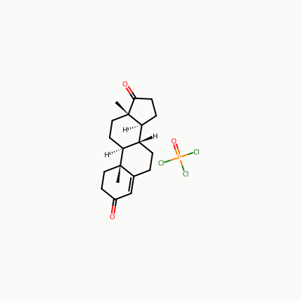 C[C@]12CCC(=O)C=C1CC[C@@H]1[C@@H]2CC[C@]2(C)C(=O)CC[C@@H]12.O=P(Cl)(Cl)Cl